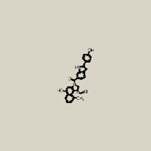 Cc1cccc2c(O)cc3c(c12)[C@H](CCl)CN3C(=O)c1ccc2cc(-c3ccc(O)cc3)[nH]c2c1